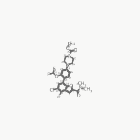 CN(C)C(=O)c1cc2c(F)c(Cl)cc(-c3ccc(N4CCN(C(=O)OC(C)(C)C)CC4)cc3OC(F)F)c2o1